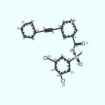 CS(=O)(=NC(=O)c1cncc(C#Cc2ccccc2)c1)c1cc(Cl)cc(Cl)c1